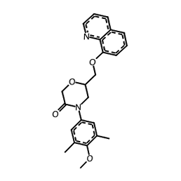 COc1c(C)cc(N2CC(COc3cccc4cccnc34)OCC2=O)cc1C